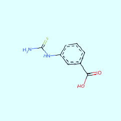 NC(=S)Nc1cccc(C(=O)O)c1